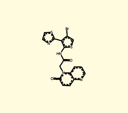 O=C(Cn1c(=O)ccc2ncccc21)Nc1scc(Br)c1-c1nccs1